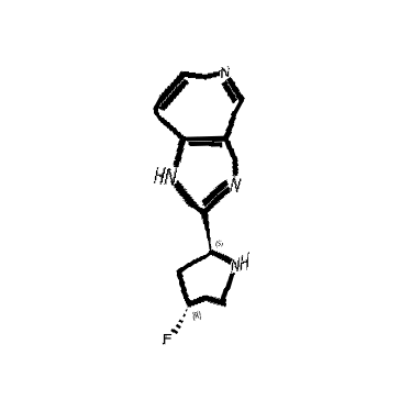 F[C@H]1CN[C@H](c2nc3cnccc3[nH]2)C1